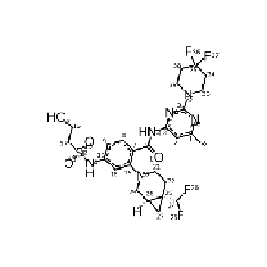 Cc1cc(NC(=O)c2ccc(NS(=O)(=O)CCO)cc2N2CC[C@@]3(C(F)F)C[C@H]3C2)nc(N2CCC(F)(F)CC2)n1